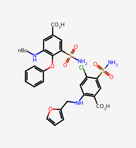 CCCCNc1cc(C(=O)O)cc(S(N)(=O)=O)c1Oc1ccccc1.NS(=O)(=O)c1cc(C(=O)O)c(NCc2ccco2)cc1Cl